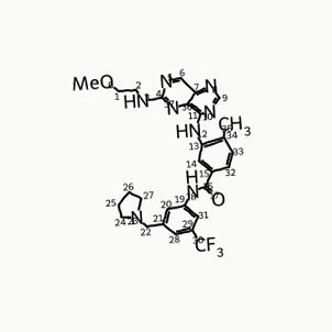 COCCNc1ncc2ncnc(Nc3cc(C(=O)Nc4cc(CN5CCCC5)cc(C(F)(F)F)c4)ccc3C)c2n1